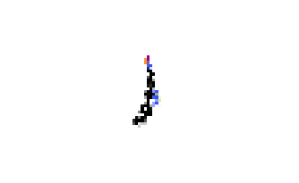 C/C=C/c1ccc(-c2ccc(-c3ccc(/C=C/N=P/I)cc3)c3nsnc23)cc1